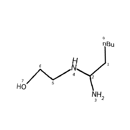 CCCCCC(N)NCCO